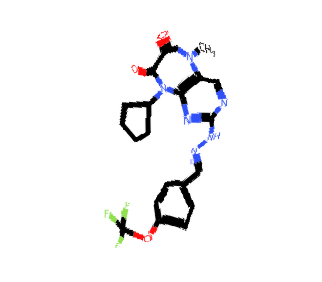 Cn1c(=O)c(=O)n(C2CCCC2)c2nc(N/N=C/c3ccc(OC(F)(F)F)cc3)ncc21